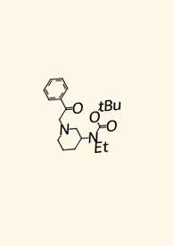 CCN(C(=O)OC(C)(C)C)C1CCCN(CC(=O)c2ccccc2)C1